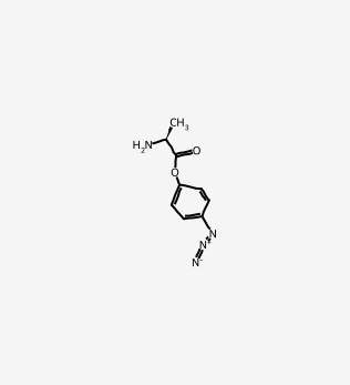 C[C@H](N)C(=O)Oc1ccc(N=[N+]=[N-])cc1